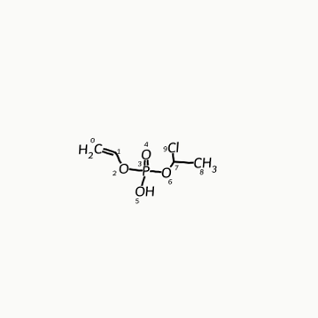 C=COP(=O)(O)OC(C)Cl